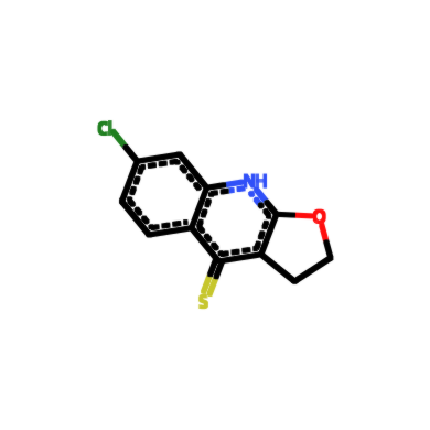 S=c1c2c([nH]c3cc(Cl)ccc13)OCC2